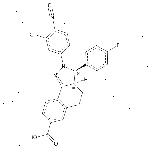 [C-]#[N+]c1ccc(N2N=C3c4ccc(C(=O)O)cc4CC[C@@H]3[C@@H]2c2ccc(F)cc2)cc1Cl